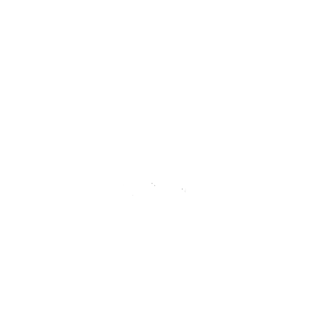 COc1ccc([N+](=O)[O-])c(NC2(C(F)(F)F)CC2)c1